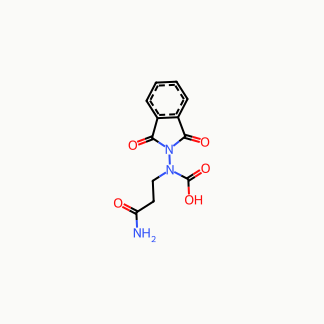 NC(=O)CCN(C(=O)O)N1C(=O)c2ccccc2C1=O